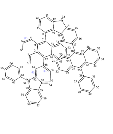 C=Cc1c(/C=C\C)c(-c2cccc3sc4ccc(-c5c6ccccc6c(-c6ccccc6)c6ccccc56)cc4c23)c2ccccc2c1C(=C/C)/C=c1\c(=C)c2ccccc2n1-c1ccccc1